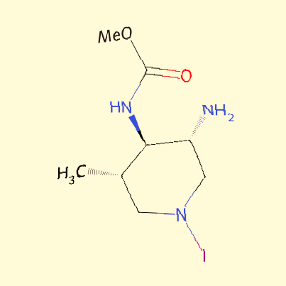 COC(=O)N[C@H]1[C@H](N)CN(I)C[C@@H]1C